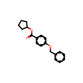 O=C(OC1CCCC1)c1ccc(OCc2ccccc2)cc1